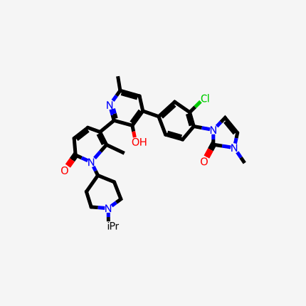 Cc1cc(-c2ccc(-n3ccn(C)c3=O)c(Cl)c2)c(O)c(-c2ccc(=O)n(C3CCN(C(C)C)CC3)c2C)n1